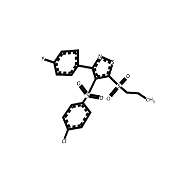 CCCS(=O)(=O)c1snc(-c2ccc(F)cc2)c1S(=O)(=O)c1ccc(Cl)cc1